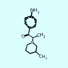 CC1CCCN(C(C)C(=O)c2ccc(N)cc2)C1